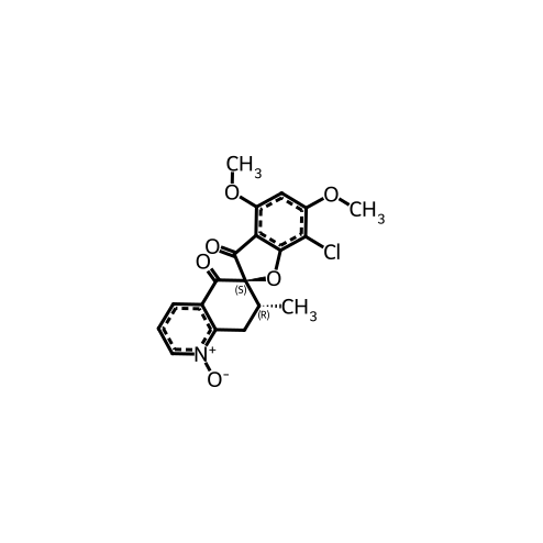 COc1cc(OC)c2c(c1Cl)O[C@@]1(C(=O)c3ccc[n+]([O-])c3C[C@H]1C)C2=O